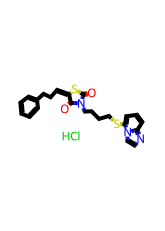 Cl.O=C1S/C(=C/CCc2ccccc2)C(=O)N1CCCCSc1cccc2nccn12